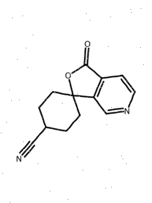 N#CC1CCC2(CC1)OC(=O)c1ccncc12